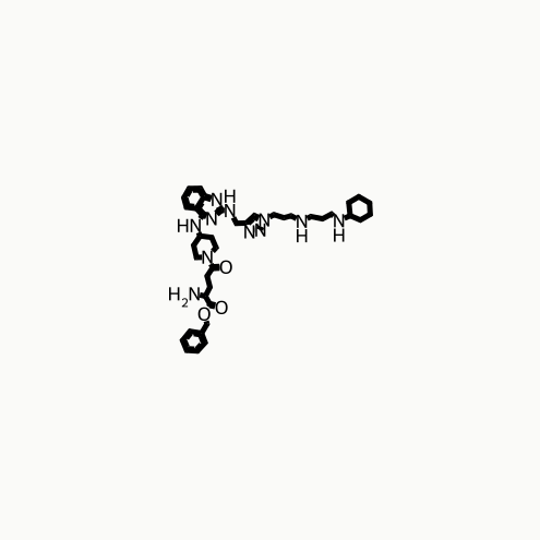 NC(CCC(=O)N1CCC(Nc2nc(NCc3cn(CCCNCCCNC4CCCCC4)nn3)nc3ccccc23)CC1)C(=O)OCc1ccccc1